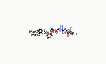 COc1ccc(CCO[C@@H]2CCCC[C@H]2N2CC[C@@H](OC(=O)CCNC(=O)CC(C[N+](C)(C)C)OC(=O)CC(C)(C)C)C2)cc1OC